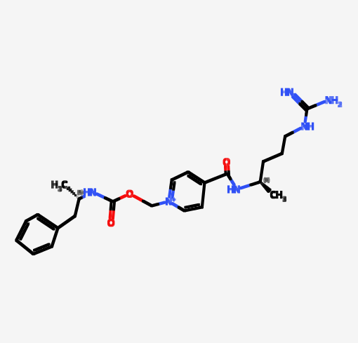 C[C@H](CCCNC(=N)N)NC(=O)c1cc[n+](COC(=O)N[C@@H](C)Cc2ccccc2)cc1